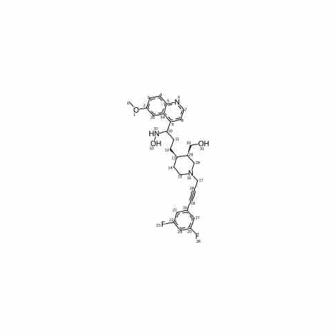 COc1ccc2nccc(C(CC[C@@H]3CCN(CC#Cc4cc(F)cc(F)c4)C[C@@H]3CO)NO)c2c1